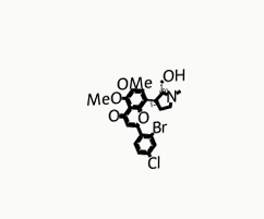 COc1cc(OC)c2c(=O)cc(-c3ccc(Cl)cc3Br)oc2c1[C@@H]1CCN(C)[C@H]1CO